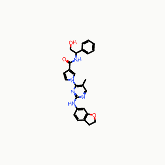 Cc1cnc(Nc2ccc3c(c2)OCC3)nc1-n1ccc(C(=O)NC(CO)c2ccccc2)c1